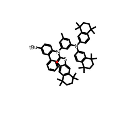 Cc1cc(N(c2ccc3c(c2)C(C)(C)CCC3(C)C)c2ccc3c(c2)C(C)(C)CCC3(C)C)cc(N(c2cc3cc4c(cc3s2)C(C)(C)CCC4(C)C)c2ccc(C(C)(C)C)cc2-c2ccccc2)c1